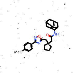 COc1ccc(-c2noc(CC3(CC(=O)NC4C5CC6CC(C5)CC4C6)CCCC3)n2)cc1